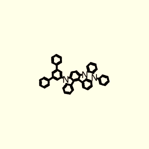 c1ccc(-c2cc(-c3ccccc3)cc(-n3c4ccccc4c4c5c6cccc7c6n(c5ccc43)-c3ccccc3N7c3ccccc3)c2)cc1